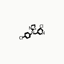 Clc1ccc(N(Cc2cncc(Cl)c2)C2=NCCS2)cc1